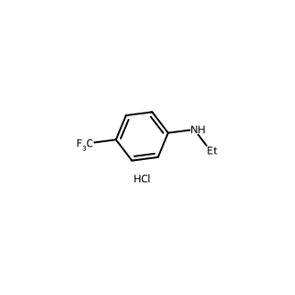 CCNc1ccc(C(F)(F)F)cc1.Cl